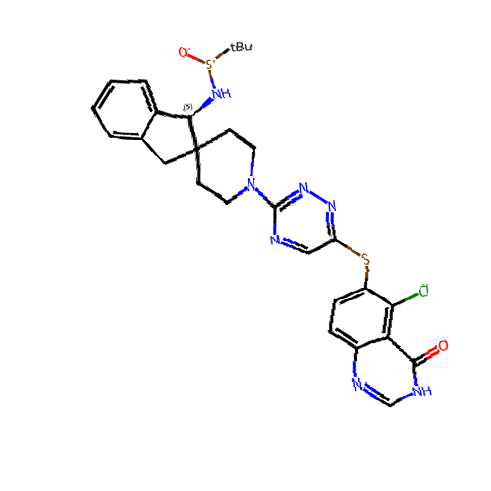 CC(C)(C)[S+]([O-])N[C@@H]1c2ccccc2CC12CCN(c1ncc(Sc3ccc4nc[nH]c(=O)c4c3Cl)nn1)CC2